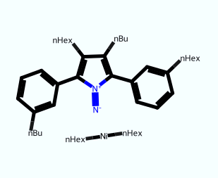 CCCCCCC1=C(c2cccc(CCCC)c2)[N+](=[N-])C(c2cccc(CCCCCC)c2)=C1CCCC.CCCCC[CH2][Ni][CH2]CCCCC